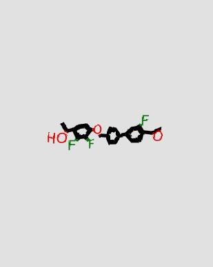 CC(O)c1ccc(OCc2ccc(-c3ccc(C4CO4)c(F)c3)cc2)c(F)c1F